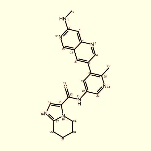 CNc1cc2ncc(-c3cc(NC(=O)c4cnc5n4CCCC5)cnc3C)cc2cn1